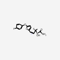 CC(F)(/C=C\c1ccc(Oc2ccc(F)cc2)o1)N(O)C(N)=O